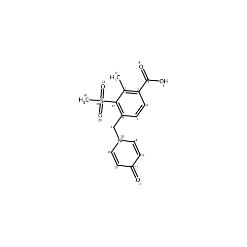 Cc1c(C(=O)O)ccc(Cn2ccc(=O)cc2)c1S(C)(=O)=O